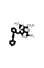 CCc1c(C(=O)C(N)=O)c2c(C(=O)C(=O)O)nc(C)cn2c1Cc1ccccc1C#Cc1ccccc1